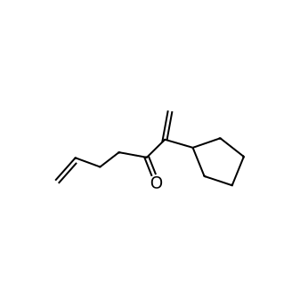 C=CCCC(=O)C(=C)C1CCCC1